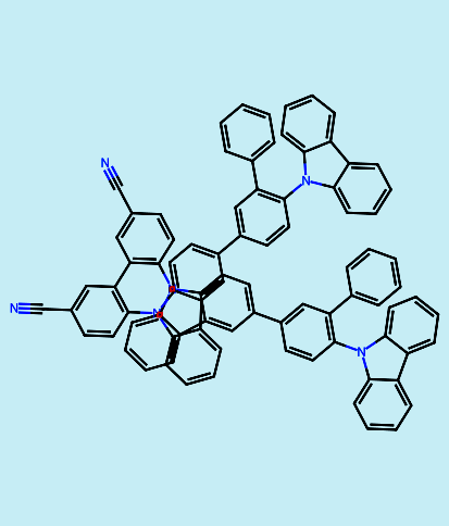 N#Cc1ccc(-n2c3ccccc3c3cc(-c4ccc(-n5c6ccccc6c6ccccc65)c(-c5ccccc5)c4)ccc32)c(-c2cc(C#N)ccc2-n2c3ccccc3c3cc(-c4ccc(-n5c6ccccc6c6ccccc65)c(-c5ccccc5)c4)ccc32)c1